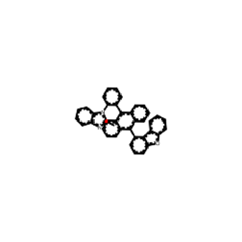 Cc1nc2ccccc2n1-c1ccccc1-c1c2ccccc2c(-c2cccc3oc4ccccc4c23)c2ccccc12